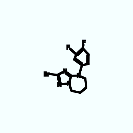 Fc1ccc(N2CCCCn3nc(Br)nc32)cc1F